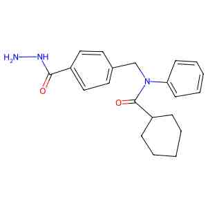 NNC(=O)c1ccc(CN(C(=O)C2CCCCC2)c2ccccc2)cc1